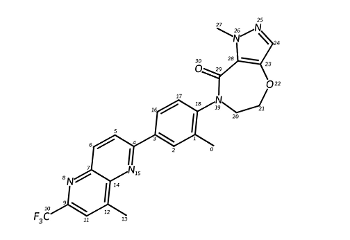 Cc1cc(-c2ccc3nc(C(F)(F)F)cc(C)c3n2)ccc1N1CCOc2cnn(C)c2C1=O